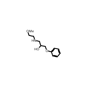 [CH2]OCCNCC(O)COc1ccccc1